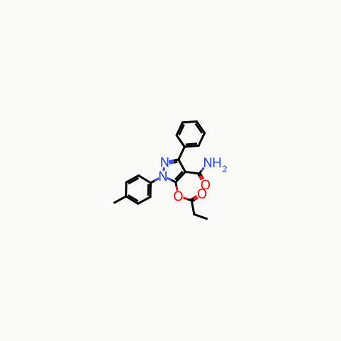 CCC(=O)Oc1c(C(N)=O)c(-c2ccccc2)nn1-c1ccc(C)cc1